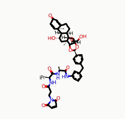 CC(C)[C@H](NC(=O)CCN1C(=O)C=CC1=O)C(=O)N[C@@H](C)C(=O)Nc1cccc(Cc2ccc([C@@H]3O[C@@H]4C[C@H]5[C@@H]6CCC7=CC(=O)C=C[C@]7(C)[C@H]6[C@@H](O)C[C@]5(C)[C@]4(C(=O)CO)O3)cc2)c1